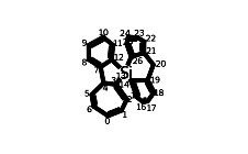 C1=CC=C2C(C=C1)c1ccccc1[Si]21c2ccccc2Cc2ccccc21